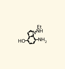 CCNn1ccc2c(O)ccc(N)c21